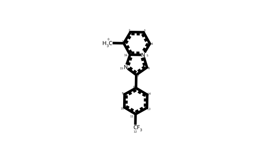 Cc1cccn2cc(-c3ccc(C(F)(F)F)cc3)nc12